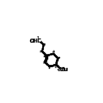 CC(C)(C)C1CC=C(CC[13CH]=O)CC1